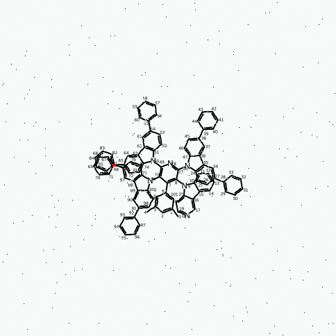 Cc1cc(C)cc(-c2c(-n3c4ccccc4c4cnccc43)c(-n3c4ccc(-c5ccccc5)cc4c4cc(-c5ccccc5)ccc43)nc(-n3c4ccc(-c5ccccc5)cc4c4cc(-c5ccccc5)ccc43)c2-n2c3ccc(-c4ccccc4)cc3c3cc(-c4ccccc4)ccc32)c1